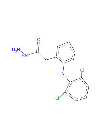 NNC(=O)Cc1ccccc1Nc1c(Cl)cccc1Cl